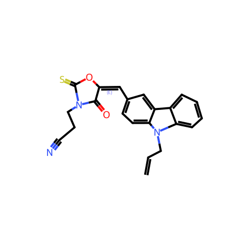 C=CCn1c2ccccc2c2cc(/C=C3/OC(=S)N(CCC#N)C3=O)ccc21